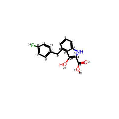 COC(=O)c1[nH]c2cccc(Cc3ccc(F)cc3)c2c1O